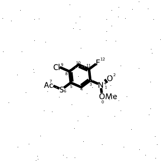 CO[N+](=O)c1cc(SC(C)=O)c(Cl)cc1F